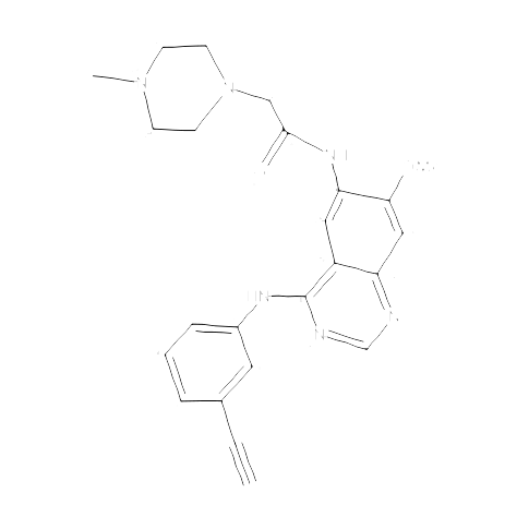 C#Cc1cccc(Nc2ncnc3cc(OC)c(NC(=O)CN4CCN(C)CC4)cc23)c1